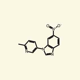 Cc1ccc(-n2cnc3ccc([N+](=O)[O-])cc32)cn1